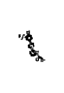 O=C(CBr)Nc1ccnc(N2CCN(c3ccc(Cl)c(C(F)(F)F)c3)CC2)n1